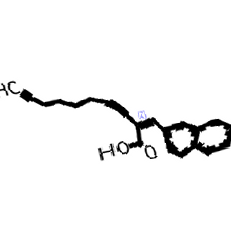 C#CCCCCC#C/C(=C/c1ccc2ccccc2c1)C(=O)O